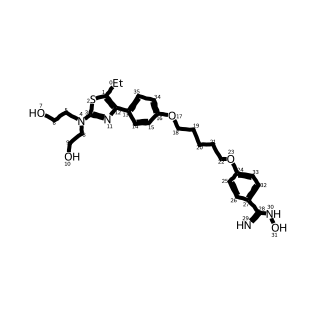 CCc1sc(N(CCO)CCO)nc1-c1ccc(OCCCCCOc2ccc(C(=N)NO)cc2)cc1